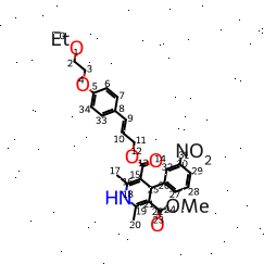 CCOCCOc1ccc(C=CCOC(=O)C2=C(C)NC(C)=C(C(=O)OC)C2c2cccc([N+](=O)[O-])c2)cc1